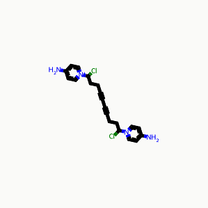 Nc1cc[n+](C(Cl)CCC#CC#CCCC(Cl)[n+]2ccc(N)cc2)cc1